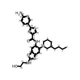 CCCCC1CCCN(c2cc3nc(NCCO)oc3cc2NC(=O)c2csc(-c3ccc(N)nc3)n2)C1